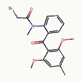 COc1cc(C)cc(OC)c1C(=O)c1ccccc1N(C)C(=O)CBr